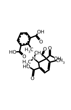 CC1=CC=C(C(=O)O)C(N(C)C)C1(C=O)C(=O)O.Cc1c(C(=O)O)cccc1C(=O)O